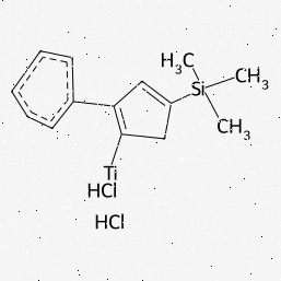 C[Si](C)(C)C1=CC(c2ccccc2)=[C]([Ti])C1.Cl.Cl